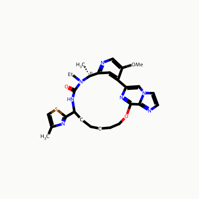 CCN1C(=O)NC(c2nc(C)cs2)CCCCCOc2nc(cn3ccnc23)-c2cc(ncc2OC)[C@H]1C